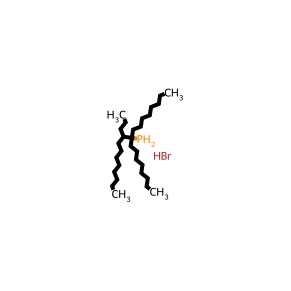 Br.CCCCCCCCC(CCC)C(P)(CCCCCCCC)CCCCCCCC